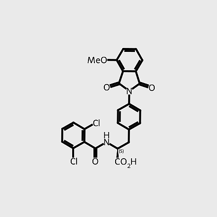 COc1cccc2c1C(=O)N(c1ccc(C[C@H](NC(=O)c3c(Cl)cccc3Cl)C(=O)O)cc1)C2=O